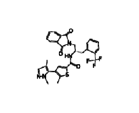 Cc1cnn(C)c1-c1cc(C(=O)N[C@@H](Cc2ccccc2C(F)(F)F)CN2C(=O)c3ccccc3C2=O)sc1C